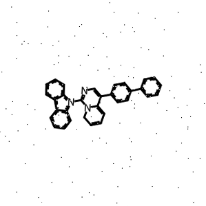 C1=CCN2C(=C1)C(c1ccc(-c3ccccc3)cc1)=CN=C2n1c2ccccc2c2ccccc21